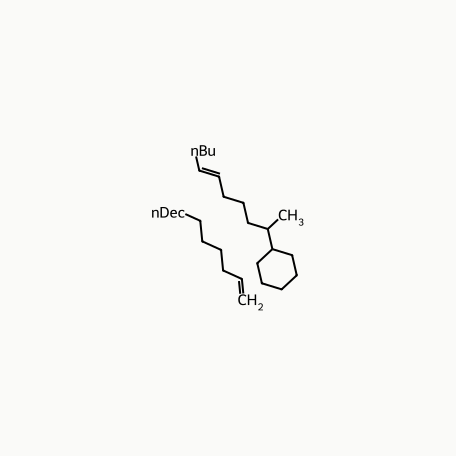 C=CCCCCCCCCCCCCCC.CCCC/C=C/CCCC(C)C1CCCCC1